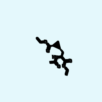 CCOC(=O)[C@H](C[C@H]1C[C@H]1C(=O)OCC)NC(C)=O